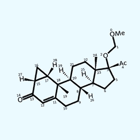 COCO[C@]1(C(C)=O)CC[C@H]2[C@@H]3CCC4=CC(=O)[C@@H]5C[C@@H]5[C@]4(C)[C@H]3CC[C@@]21C